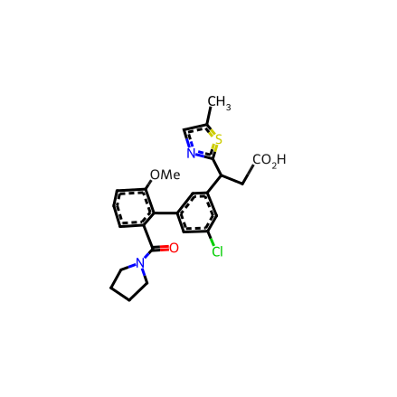 COc1cccc(C(=O)N2CCCC2)c1-c1cc(Cl)cc(C(CC(=O)O)c2ncc(C)s2)c1